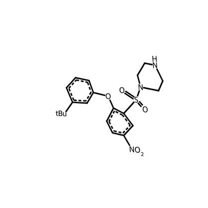 CC(C)(C)c1cccc(Oc2ccc([N+](=O)[O-])cc2S(=O)(=O)N2CCNCC2)c1